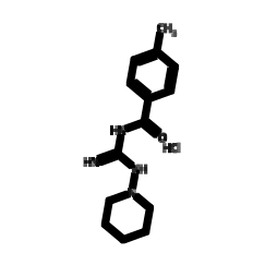 Cc1ccc(C(=O)NC(=N)NN2CCCCC2)cc1.Cl